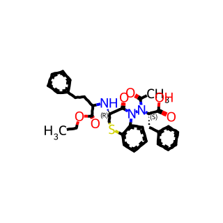 CCOC(=O)C(CCc1ccccc1)N[C@H]1CSc2ccccc2N(N(C(C)=O)[C@@H](Cc2ccccc2)C(=O)O)C1=O